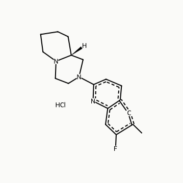 Cc1cc2ccc(N3CCN4CCCC[C@@H]4C3)nc2cc1F.Cl